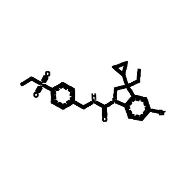 CCC1(C2CC2)CN(C(=O)NCc2ccc(S(=O)(=O)CC)cc2)c2ccc(Br)cc21